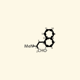 CN[C@H]([C]=O)Cc1cccc2ccccc12